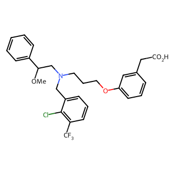 COC(CN(CCCOc1cccc(CC(=O)O)c1)Cc1cccc(C(F)(F)F)c1Cl)c1ccccc1